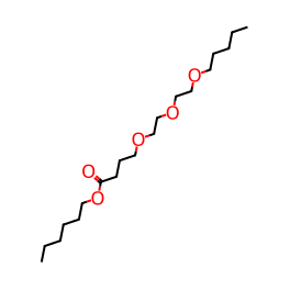 CCCCCCOC(=O)CCCOCCOCCOCCCCC